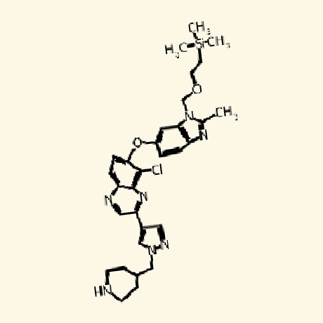 Cc1nc2ccc(Oc3ccc4ncc(-c5cnn(CC6CCNCC6)c5)nc4c3Cl)cc2n1COCC[Si](C)(C)C